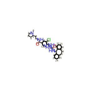 CN1CCCC1CCNC(=O)c1cnc(NNC(=O)NC2c3ccccc3CCc3ccccc32)c(Cl)c1